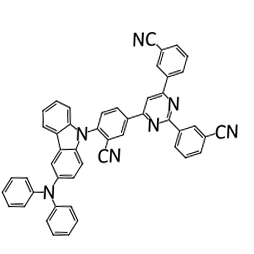 N#Cc1cccc(-c2cc(-c3ccc(-n4c5ccccc5c5cc(N(c6ccccc6)c6ccccc6)ccc54)c(C#N)c3)nc(-c3cccc(C#N)c3)n2)c1